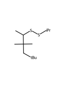 CC(C)SSC(C)C(C)(C)CC(C)(C)C